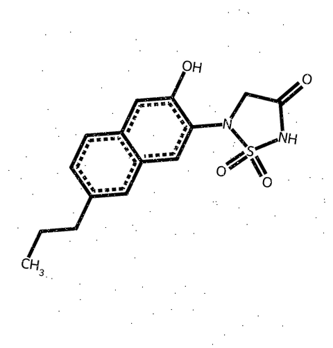 CCCc1ccc2cc(O)c(N3CC(=O)NS3(=O)=O)cc2c1